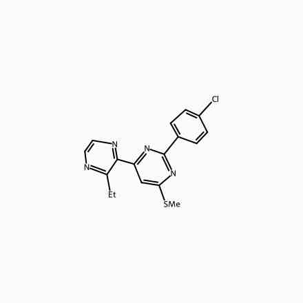 CCc1nccnc1-c1cc(SC)nc(-c2ccc(Cl)cc2)n1